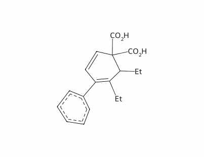 CCC1=C(c2ccccc2)C=CC(C(=O)O)(C(=O)O)C1CC